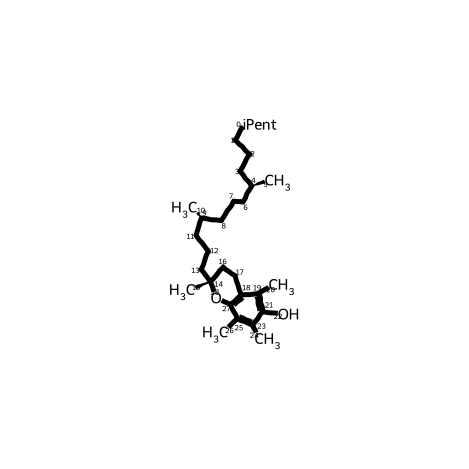 CCCC(C)CCC[C@@H](C)CCC[C@@H](C)CCC[C@]1(C)CCc2c(C)c(O)c(C)c(C)c2O1